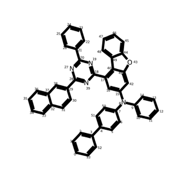 c1ccc(-c2ccc(N(c3ccccc3)c3cc(-c4nc(-c5ccccc5)nc(-c5ccc6ccccc6c5)n4)c4c(c3)oc3ccccc34)cc2)cc1